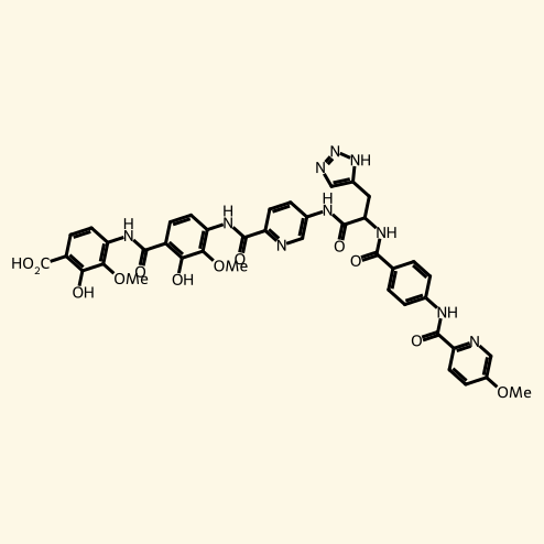 COc1ccc(C(=O)Nc2ccc(C(=O)NC(Cc3cnn[nH]3)C(=O)Nc3ccc(C(=O)Nc4ccc(C(=O)Nc5ccc(C(=O)O)c(O)c5OC)c(O)c4OC)nc3)cc2)nc1